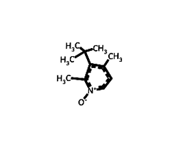 Cc1cc[n+]([O-])c(C)c1C(C)(C)C